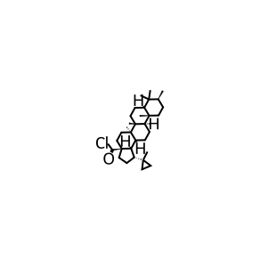 C[C@H]1CC[C@]2(C)[C@H]3CC[C@@H]4[C@H]5[C@H](C6(C)CC6)CC[C@]5(C(=O)Cl)CC[C@@]4(C)[C@]3(C)CC[C@H]2C1(C)C